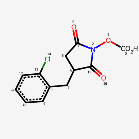 O=C(O)ON1C(=O)CC(Cc2ccccc2Cl)C1=O